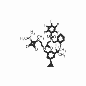 CN(C)c1c(N(C)CCN(Cc2cc(C3CC3)cc(C(C)(C)C)c2)C(=O)CN(Cc2ccccc2F)S(=O)(=O)c2c(F)c(F)c(F)c(F)c2F)c(=O)c1=O